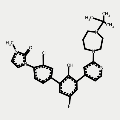 Cn1ccn(-c2ccc(-c3cc(F)cc(-c4ccnc(N5CCCN(C(C)(C)C)CC5)c4)c3O)cc2Cl)c1=O